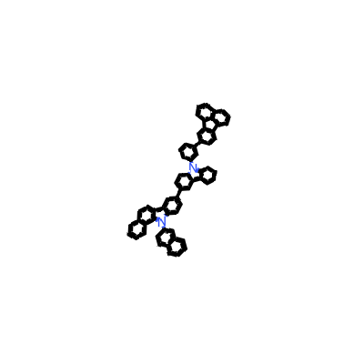 c1cc(-c2ccc3c(c2)-c2cccc4cccc-3c24)cc(-n2c3ccccc3c3cc(-c4ccc5c(c4)c4ccc6ccccc6c4n5-c4ccc5ccccc5c4)ccc32)c1